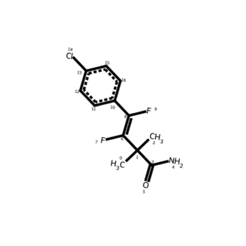 CC(C)(C(N)=O)C(F)=C(F)c1ccc(Cl)cc1